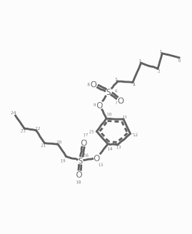 CCCCCCS(=O)(=O)Oc1c[c]cc(OS(=O)(=O)CCCCCC)c1